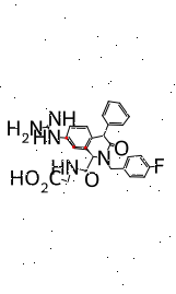 N=C(N)NCCC[C@H](C(=O)NCC(=O)O)N(Cc1ccc(F)cc1)C(=O)C(c1ccccc1)c1ccccc1